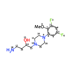 COc1c(F)cc(F)cc1N1CCN(CC(O)CCN)CC1